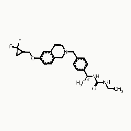 CCNC(=O)N[C@@H](C)c1ccc(CN2CCc3cc(OCC4CC4(F)F)ccc3C2)cc1